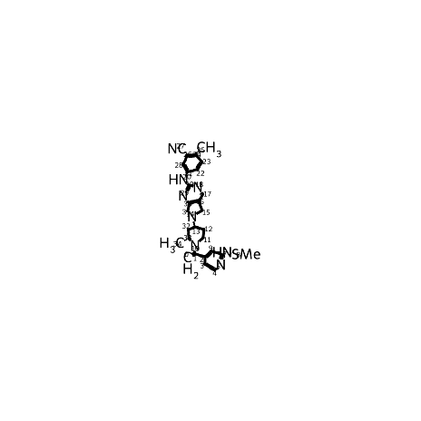 C=C(c1ccnc(NSC)c1)N1CC[C@H](N2Cc3cnc(Nc4ccc(C)c(C#N)c4)nc3C2)C[C@H]1C